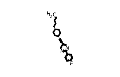 C=CCCC[C@H]1CC[C@H](C#Cc2cnc(-c3ccc(F)cc3)nc2)CC1